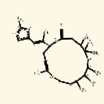 CC1=CC[C@@H](C(C)=Cc2csc(C)n2)OC(=O)CC(O)C(C)(C)SC(C)C(O)C(C)CCC1